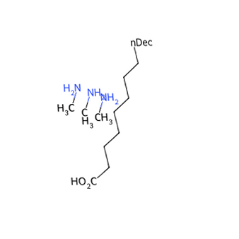 CCCCCCCCCCCCCCCCCC(=O)O.CN.CN.CN